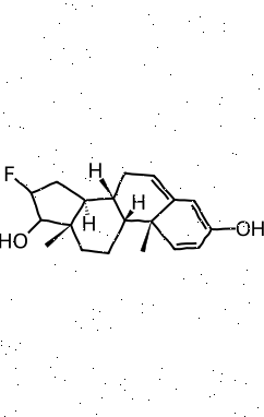 C[C@]12C=CC(O)=CC1=CC[C@@H]1[C@H]2CC[C@]2(C)C(O)C(F)C[C@@H]12